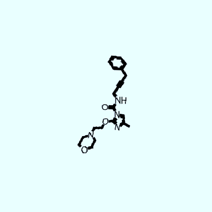 Cc1cn(C(=O)NCC#CCc2ccccc2)c(OCCN2CCOCC2)n1